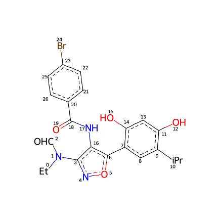 CCN(C=O)c1noc(-c2cc(C(C)C)c(O)cc2O)c1NC(=O)c1ccc(Br)cc1